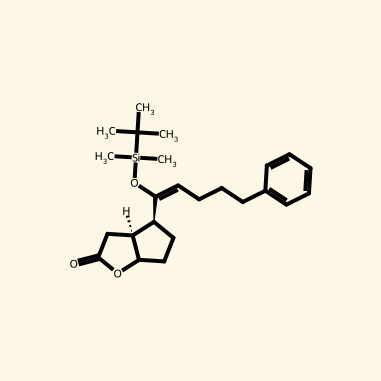 CC(C)(C)[Si](C)(C)O/C(=C/CCCc1ccccc1)[C@H]1CCC2OC(=O)C[C@H]21